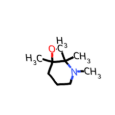 CN1CCCC(C)([O])C1(C)C